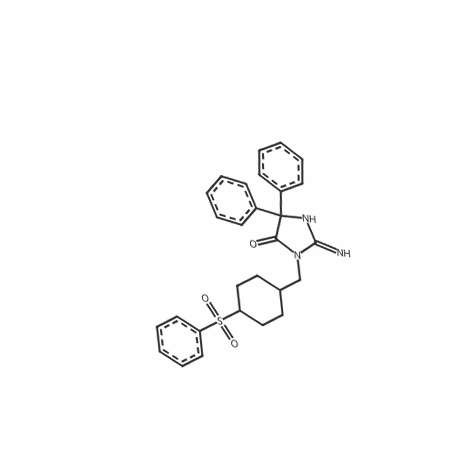 N=C1NC(c2ccccc2)(c2ccccc2)C(=O)N1CC1CCC(S(=O)(=O)c2ccccc2)CC1